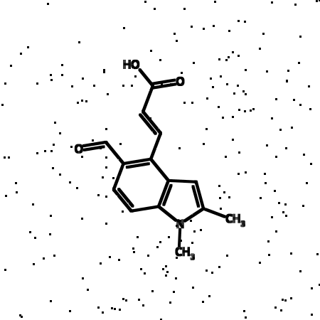 Cc1cc2c(/C=C/C(=O)O)c(C=O)ccc2n1C